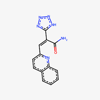 NC(=O)C(=Cc1ccc2ccccc2n1)c1nnn[nH]1